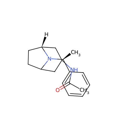 CC(=O)N[C@]1(C)CC2CC[C@H](C1)N2Cc1ccccc1